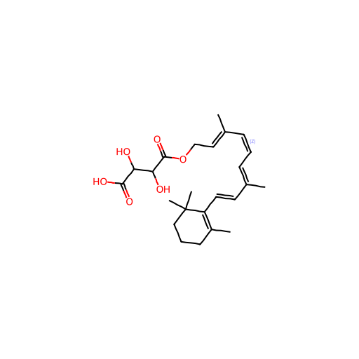 CC(C=CC1=C(C)CCCC1(C)C)=C/C=C\C(C)=CCOC(=O)C(O)C(O)C(=O)O